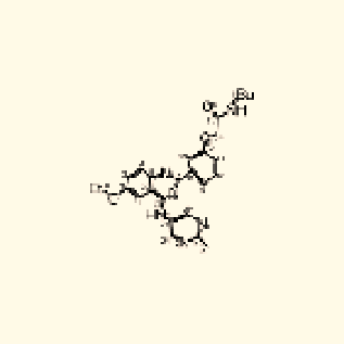 CCOc1ccc2nc(-c3cccc(OCC(=O)NC(C)(C)C)c3)nc(Nc3cnc(C)nc3)c2c1